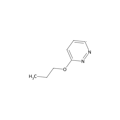 CCCOc1cc[c]nn1